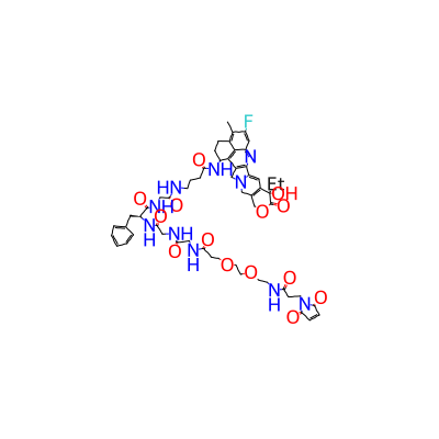 CC[C@@]1(O)C(=O)OCC2=C1C=C1c3nc4cc(F)c(C)c5c4c(c3CN1C2)[C@@H](NC(=O)CCCNC(=O)CNC(=O)[C@H](Cc1ccccc1)NC(=O)CNC(=O)CNC(=O)CCOCCOCCNC(=O)CCN1C(=O)C=CC1=O)CC5